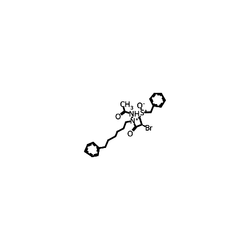 CC(=O)N[N+]1(CCCCCCc2ccccc2)C(=O)[C@H](Br)[C@H]1[S+]([O-])Cc1ccccc1